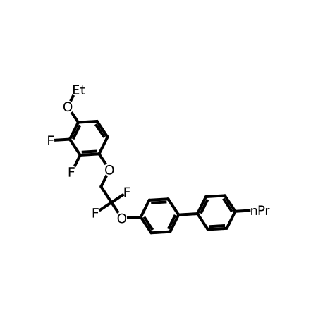 CCCc1ccc(-c2ccc(OC(F)(F)COc3ccc(OCC)c(F)c3F)cc2)cc1